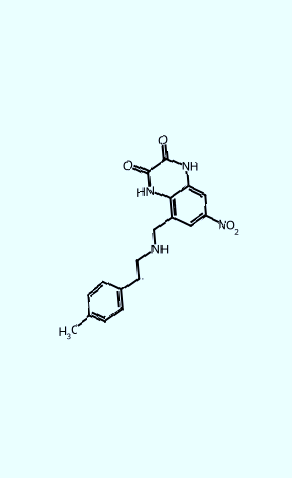 Cc1ccc([CH]CNCc2cc([N+](=O)[O-])cc3[nH]c(=O)c(=O)[nH]c23)cc1